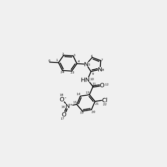 Cc1ccc(-n2ccnc2NC(=O)c2cc([N+](=O)[O-])ccc2Cl)cc1